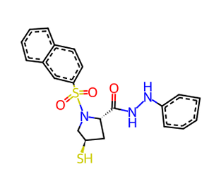 O=C(NNc1ccccc1)[C@@H]1C[C@@H](S)CN1S(=O)(=O)c1ccc2ccccc2c1